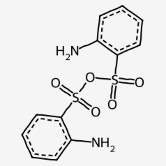 Nc1ccccc1S(=O)(=O)OS(=O)(=O)c1ccccc1N